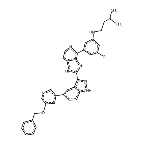 CN(C)CCNc1cc(F)cc(-c2nccc3[nH]c(-c4n[nH]c5ccc(-c6cncc(OCc7ccccc7)c6)cc45)nc23)c1